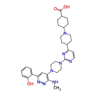 CNc1nnc(-c2ccccc2O)cc1N1CCN(c2nccc(C3CCN(C4CCC(C(=O)O)CC4)CC3)n2)CC1